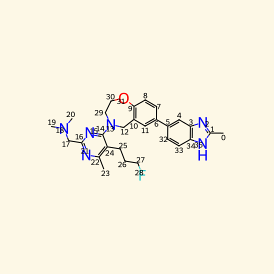 Cc1nc2cc(-c3ccc4c(c3)CN(c3nc(CN(C)C)nc(C)c3CCCF)CCO4)ccc2[nH]1